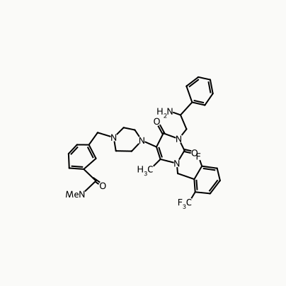 CNC(=O)c1cccc(CN2CCN(c3c(C)n(Cc4c(F)cccc4C(F)(F)F)c(=O)n(CC(N)c4ccccc4)c3=O)CC2)c1